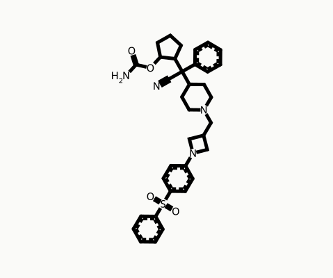 N#CC(c1ccccc1)(C1CCN(CC2CN(c3ccc(S(=O)(=O)c4ccccc4)cc3)C2)CC1)C1CCCC1OC(N)=O